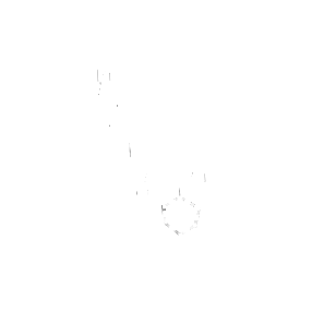 Cc1ccc(OCCCCCCBr)c(C(C)(C)C)c1